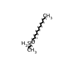 CCCCCCCCCCCCCO[SiH2]CCC